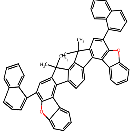 CC1(C)c2cc(-c3cccc4ccccc34)c3oc4ccccc4c3c2-c2ccc3c(c21)C(C)(C)c1cc(-c2cccc4ccccc24)c2oc4ccccc4c2c1-3